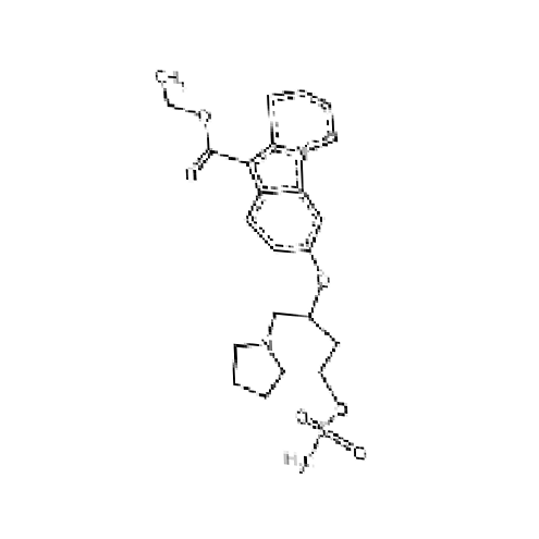 CCOC(=O)c1c2ccc(OC(CCOS(C)(=O)=O)CN3CCCC3)cc2n2ccccc12